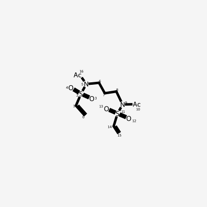 C=CS(=O)(=O)N(CCCN(C(C)=O)S(=O)(=O)C=C)C(C)=O